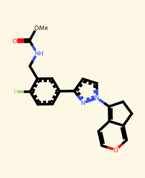 COC(=O)NCc1cc(-c2ccn(C3=C4C=COC=C4CC3)n2)ccc1F